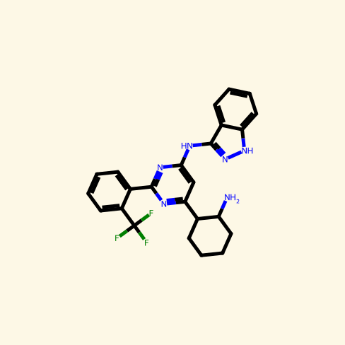 NC1CCCCC1c1cc(Nc2n[nH]c3ccccc23)nc(-c2ccccc2C(F)(F)F)n1